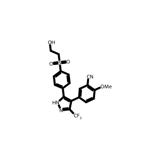 COc1ccc(-c2c(C(F)(F)F)n[nH]c2-c2ccc(S(=O)(=O)CCO)cc2)cc1C#N